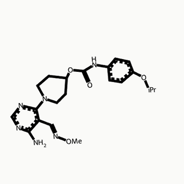 CON=Cc1c(N)ncnc1N1CCC(OC(=O)Nc2ccc(OC(C)C)cc2)CC1